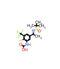 CC(=N[S+]([O-])C(C)(C)C)c1cc(NC(=O)O)c(F)c(C(F)(F)F)c1